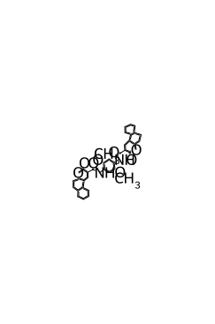 COc1cc(NC(=O)c2cc3c(ccc4ccccc43)oc2=O)c(OC)cc1NC(=O)c1cc2c(ccc3ccccc32)oc1=O